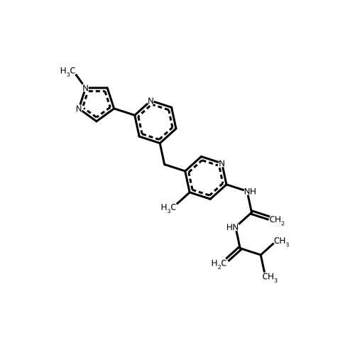 C=C(NC(=C)C(C)C)Nc1cc(C)c(Cc2ccnc(-c3cnn(C)c3)c2)cn1